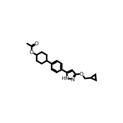 CC(=O)OC1CCC(c2ccc(-c3cc(OCC4CC4)n[nH]3)cc2)CC1